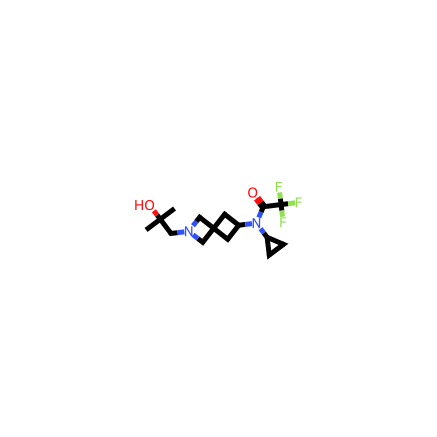 CC(C)(O)CN1CC2(CC(N(C(=O)C(F)(F)F)C3CC3)C2)C1